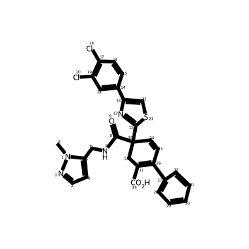 Cn1nccc1CNC(=O)C1(c2nc(-c3ccc(Cl)c(Cl)c3)cs2)C=CC(c2ccccc2)=C(C(=O)O)C1